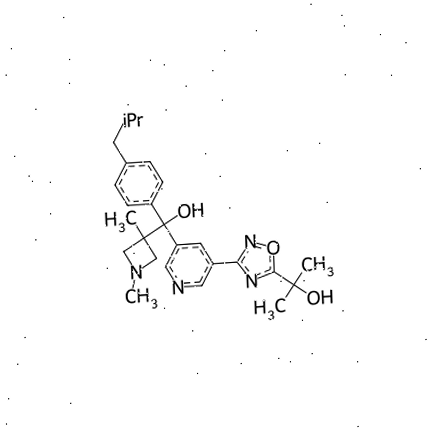 CC(C)Cc1ccc(C(O)(c2cncc(-c3noc(C(C)(C)O)n3)c2)C2(C)CN(C)C2)cc1